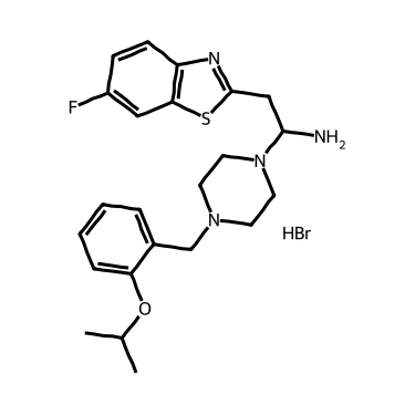 Br.CC(C)Oc1ccccc1CN1CCN(C(N)Cc2nc3ccc(F)cc3s2)CC1